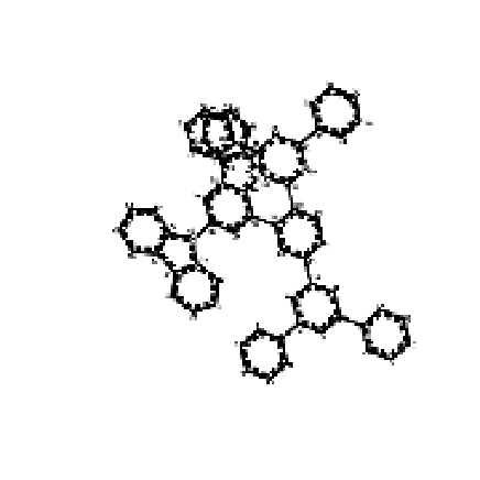 c1ccc(-c2cc(-c3ccccc3)cc(-c3ccc(-c4nc(-c5ccccc5)nc(-c5ccccc5)n4)c(-c4cc(-n5c6ccccc6c6ccccc65)cc5c4sc4ccccc45)c3)c2)cc1